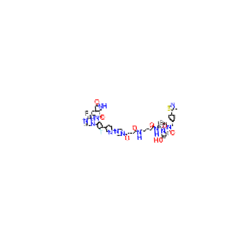 Cc1ncsc1-c1ccc(CNC(=O)[C@@H]2C[C@@H](O)CN2C(=O)[C@@H](NC(=O)CCCCNC(=O)CCC(=O)N2CCN(c3ccc(-c4cc(NC(=O)c5c[nH]c(=O)cc5C(F)(F)F)c(N5C[C@@H](C)N(C)[C@@H](C)C5)cc4F)cn3)CC2)C(C)(C)C)cc1